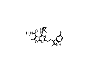 Cc1[nH]c2ccc(F)cc2c1CCc1nc(NC2(C)CC2)c2c(C(N)=O)c(C)oc2n1